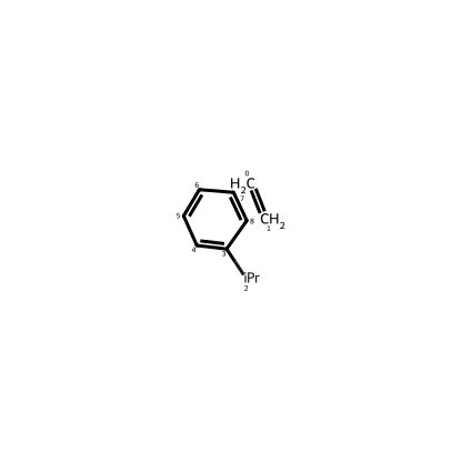 C=C.CC(C)c1ccccc1